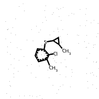 Cc1cccc(SC2CC2C)c1Cl